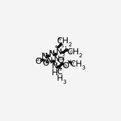 C=CCN(CC=C)c1nc(NC(C)C(=O)OCC)n2oc(=O)nc2n1